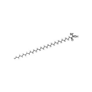 CCCCCCCCCCCCCCCCCCCCCCCCCCCCCCCCC(=O)N(O)Br